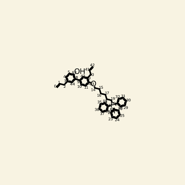 C=CCc1ccc(O)c(-c2ccc(OCCCCCC[PH](c3ccccc3)(c3ccccc3)c3ccccc3)c(CC=C)c2)c1